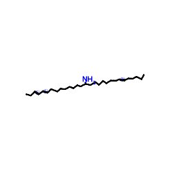 CC/C=C/C=C/CCCCCCCCC(N)CCCCCCC/C=C/CCCCC